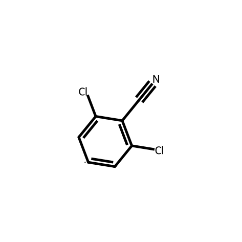 N#Cc1c(Cl)c[c]cc1Cl